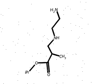 CC(C)OC(=O)C(C)CNCCN